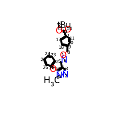 Cn1ncc(C=NOCc2ccc(C(=O)OC(C)(C)C)cc2)c1Oc1ccccc1